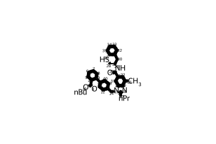 CCCCOC(=O)c1ccccc1-c1ccc(Cn2c(CCC)nc3c(C)cc(C(=O)N[C@@H](CS)Cc4ccccc4)cc32)cc1